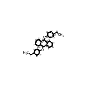 CCc1ccc(Oc2c3ccccc3c(Oc3ccc(CC)cc3)c3ccccc23)cc1